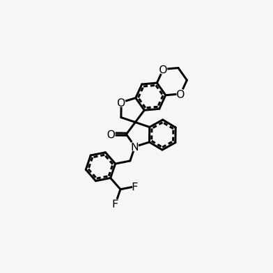 O=C1N(Cc2ccccc2C(F)F)c2ccccc2C12COc1cc3c(cc12)OCCO3